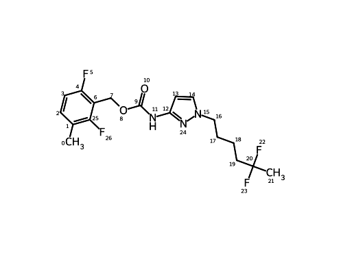 Cc1ccc(F)c(COC(=O)Nc2ccn(CCCCC(C)(F)F)n2)c1F